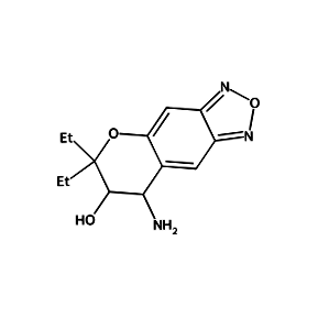 CCC1(CC)Oc2cc3nonc3cc2C(N)C1O